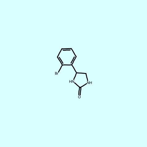 O=C1NCC(c2ccccc2Br)N1